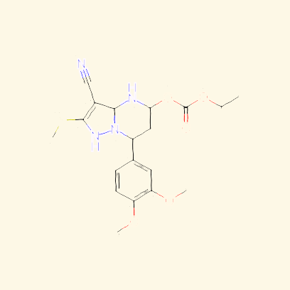 CCOC(=O)OC1CC(c2ccc(OC)c(OC)c2)N2NC(SC)=C(C#N)C2N1